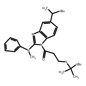 CCCCC(C)c1ccc2c(c1)nc(N(C)c1ccccc1)n2C(=O)CCSC(C)(C)CCCC